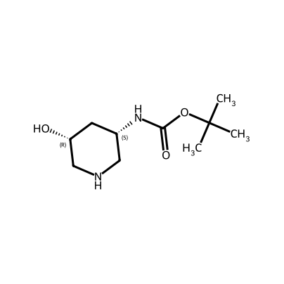 CC(C)(C)OC(=O)N[C@@H]1CNC[C@H](O)C1